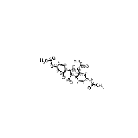 CC(=O)Oc1ccc(-c2c(C)c3ccc(OC(C)=O)cc3oc2=O)c(OC(C)=O)c1